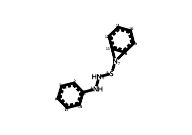 c1ccc(NNSN2c3ccccc32)cc1